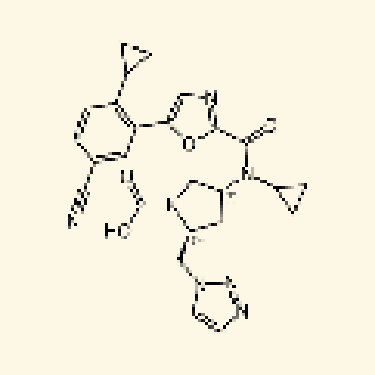 N#Cc1ccc(C2CC2)c(-c2cnc(C(=O)N(C3CC3)[C@@H]3C[C@@H](Cn4ccnn4)N(C(=O)O)C3)o2)c1